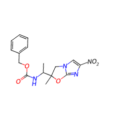 CC(NC(=O)OCc1ccccc1)C1(C)Cn2cc([N+](=O)[O-])nc2O1